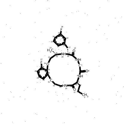 CCC[C@@H]1NC(=O)CNC(=O)[C@@H](Cc2cccc(F)c2)N[C@@H](C)COc2c(F)cccc2CCCNC1=O